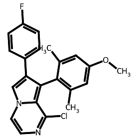 COc1cc(C)c(-c2c(-c3ccc(F)cc3)cn3ccnc(Cl)c23)c(C)c1